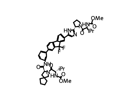 COC(=O)NC(C(=O)N1CCC[C@H]1c1ncc(-c2ccc3c(c2)C(F)(F)c2cc(-c4cccc(NC(=O)[C@@H]5CC6(CCCC6)CN5C(=O)[C@@H](NC(=O)OC)C(C)C)c4)ccc2-3)[nH]1)C(C)C